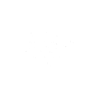 CC1OC1CC(CCC(=O)O)(C(=O)O)C(CC1OC1C)(CC1OC1C)C(=O)O